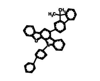 CC1(C)c2ccccc2-c2ccc(-c3cc4c5ccccc5oc4c4c3c3ccccc3n4-c3ccc(-c4ccccc4)cc3)cc21